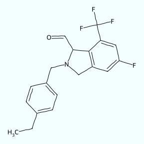 CCc1ccc(CN2Cc3cc(F)cc(C(F)(F)F)c3C2C=O)cc1